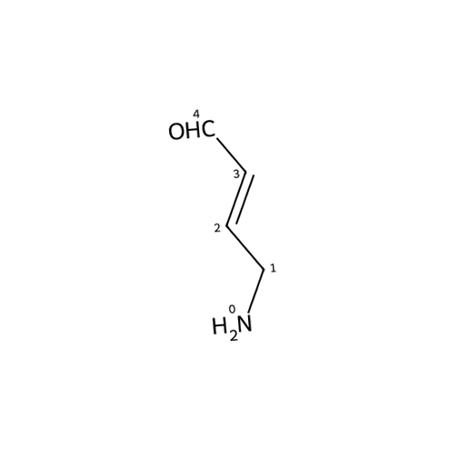 NC/C=C/C=O